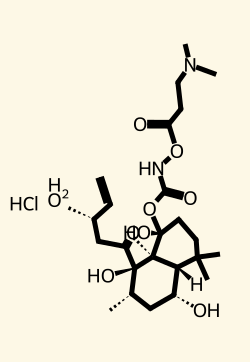 C=C[C@@H](C)CC(=O)[C@@]1(O)[C@@H](C)C[C@@H](O)[C@H]2C(C)(C)CC[C@@](O)(OC(=O)NOC(=O)CCN(C)C)[C@@]21C.Cl.O